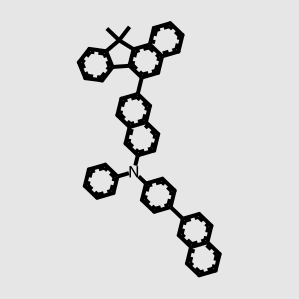 CC1(C)c2ccccc2-c2c(-c3ccc4cc(N(c5ccccc5)c5ccc(-c6ccc7ccccc7c6)cc5)ccc4c3)cc3ccccc3c21